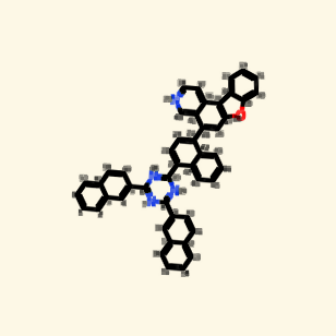 c1ccc2cc(-c3nc(-c4ccc5ccccc5c4)nc(-c4ccc(-c5cc6oc7ccccc7c6c6ccncc56)c5ccccc45)n3)ccc2c1